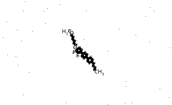 CCCCCC1CCC(c2ccc(-c3ccc(OCCCCCCOC)c(F)c3F)cc2)CC1